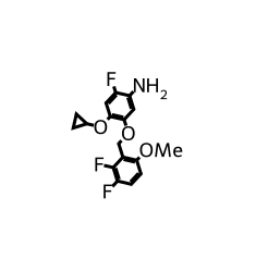 COc1ccc(F)c(F)c1COc1cc(N)c(F)cc1OC1CC1